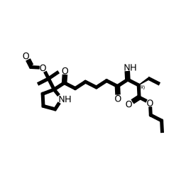 CCCOC(=O)[C@H](CC)C(=N)C(=O)CCCCC(=O)C1(C(C)(C)OC=O)CCCN1